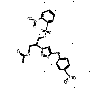 CC(=O)OCC(COS(=O)(=O)c1ccccc1[N+](=O)[O-])n1cc(Cc2ccc([N+](=O)[O-])cc2)nn1